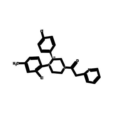 Cc1ccc(N2CCN(C(=O)Cc3ccccn3)C[C@H]2c2ccc(Cl)cc2)c(Cl)c1